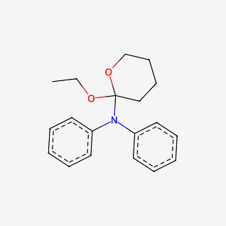 CCOC1(N(c2ccccc2)c2ccccc2)CCCCO1